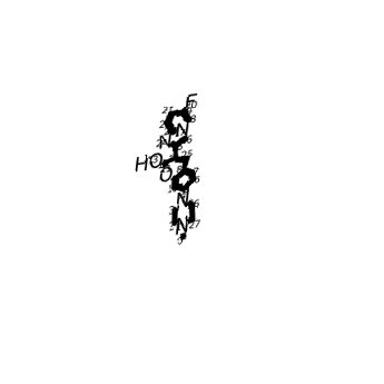 CN1CCN(c2ccc3c(c2)OC(O)C(c2cn4cc(F)ccc4n2)=C3)CC1